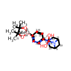 COc1ccc(C(O)(O)N2C3CC2CN(c2ccc(B4OC(C)(C)C(C)(C)O4)cn2)C3)cn1